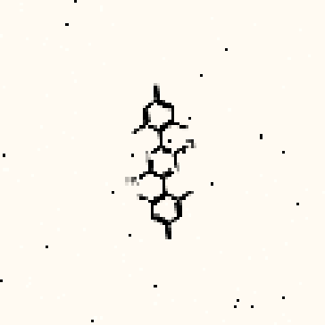 Cc1cc(C)c(-c2nc(C#N)c(-c3c(C)cc(C)cc3C)nc2C#N)c(C)c1